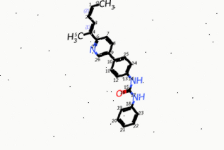 C/C=C\C=C(/C)c1ccc(-c2ccc(NC(=O)Nc3ccccc3)cc2)cn1